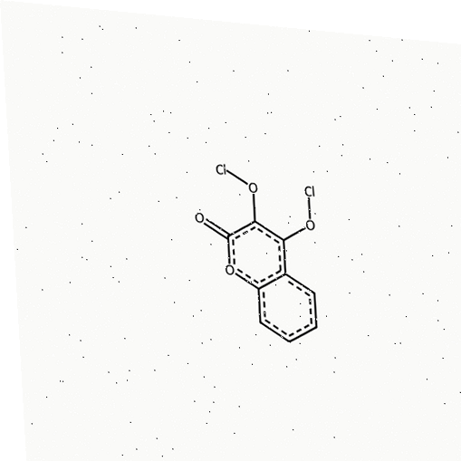 O=c1oc2ccccc2c(OCl)c1OCl